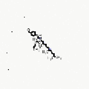 C=CCOC(=O)N/C(=N\C/C=C(\C)CC/C=C(\C)CCC=C(C)C)Nc1ccc(C=O)cc1